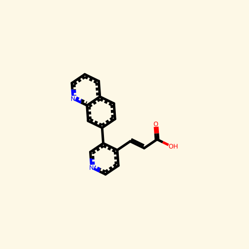 O=C(O)/C=C/c1ccncc1-c1ccc2cccnc2c1